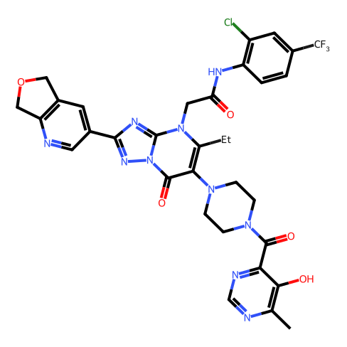 CCc1c(N2CCN(C(=O)c3ncnc(C)c3O)CC2)c(=O)n2nc(-c3cnc4c(c3)COC4)nc2n1CC(=O)Nc1ccc(C(F)(F)F)cc1Cl